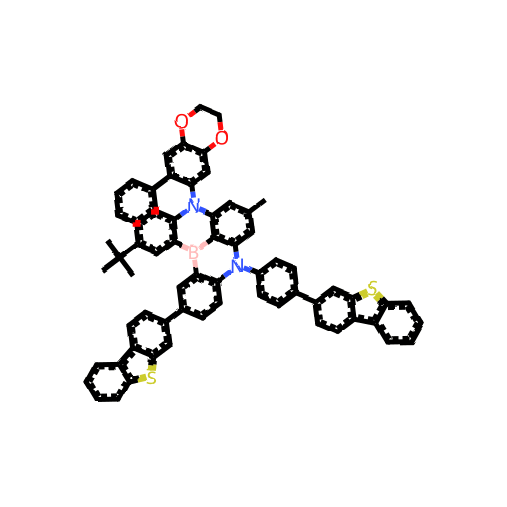 Cc1cc2c3c(c1)N(c1cc4c(cc1-c1ccccc1)OCCO4)c1ccc(C(C)(C)C)cc1B3c1cc(-c3ccc4c(c3)sc3ccccc34)ccc1N2c1ccc(-c2ccc3c(c2)sc2ccccc23)cc1